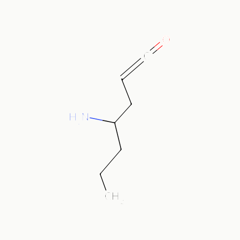 [CH2]CCC(N)CC=C=O